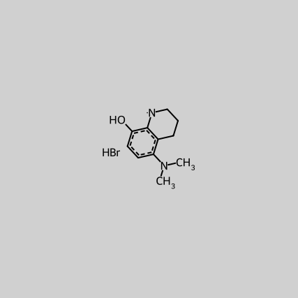 Br.CN(C)c1ccc(O)c2c1CCC[N]2